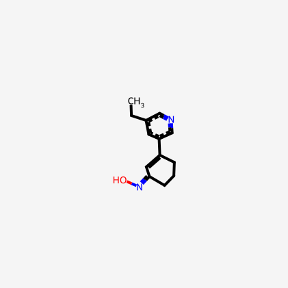 CCc1cncc(C2=CC(=NO)CCC2)c1